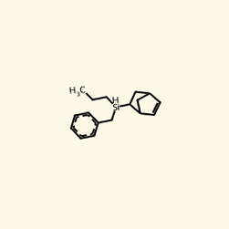 CCC[SiH](Cc1ccccc1)C1CC2C=CC1C2